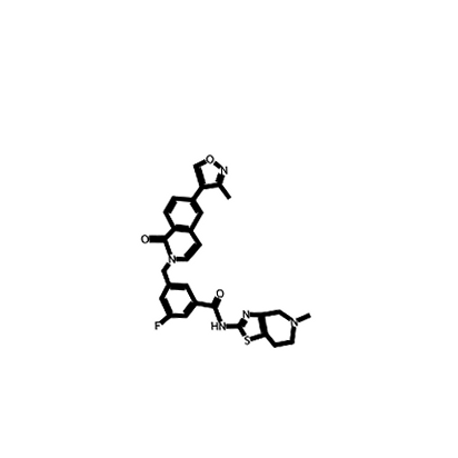 Cc1nocc1-c1ccc2c(=O)n(Cc3cc(F)cc(C(=O)Nc4nc5c(s4)CCN(C)C5)c3)ccc2c1